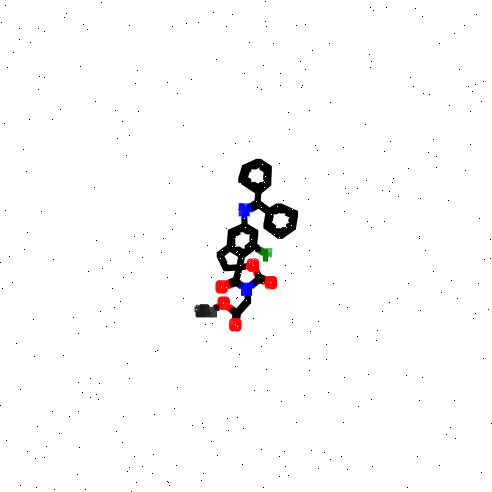 CC(C)(C)OC(=O)CN1C(=O)OC2(CCc3cc(N=C(c4ccccc4)c4ccccc4)cc(F)c32)C1=O